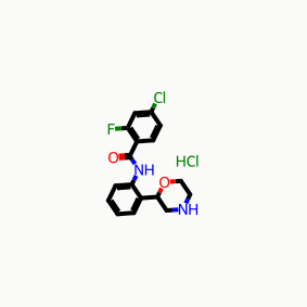 Cl.O=C(Nc1ccccc1C1CNCCO1)c1ccc(Cl)cc1F